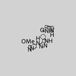 COc1c(Nc2ncnc3[nH]c4c(c23)CC[C@H](C(=O)NC23C5NC6C7C5C2C6C73)C4)ccn2nccc12